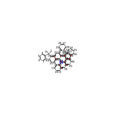 CC1(C)c2ccccc2-c2cc(-c3ccccc3N(c3cccc(-c4ccccc4)c3-c3ccccc3-c3ccccc3)c3cccc4c3C(C)(C)c3ccccc3-4)ccc21